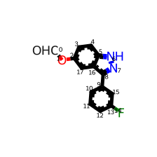 O=COc1ccc2[nH]nc(-c3cccc(F)c3)c2c1